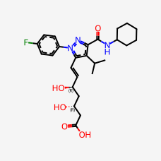 CC(C)c1c(C(=O)NC2CCCCC2)nn(-c2ccc(F)cc2)c1C=C[C@H](O)C[C@@H](O)CC(=O)O